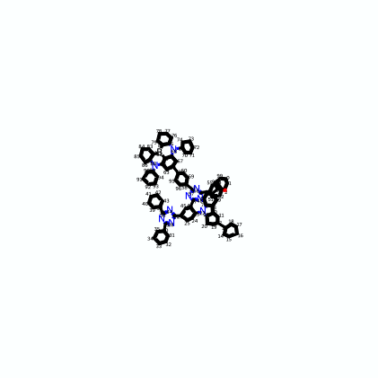 c1ccc(-c2ccc3c(c2)c2cc(-c4ccccc4)ccc2n3-c2ccc(-c3nc(-c4ccccc4)nc(-c4ccccc4)n3)cc2-c2nc(-c3ccccc3)nc(-c3ccc(-c4cc5c6c(c4)N(c4ccccc4)c4ccccc4B6c4ccccc4N5c4ccccc4)cc3)n2)cc1